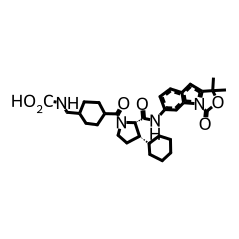 CC1(C)OC(=O)n2c1cc1ccc(NC(=O)[C@@H]3[C@H](C4CCCCC4)CCN3C(=O)C3CCC(CNC(=O)O)CC3)cc12